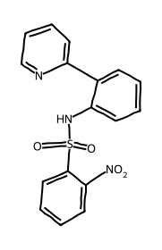 O=[N+]([O-])c1ccccc1S(=O)(=O)Nc1ccccc1-c1ccccn1